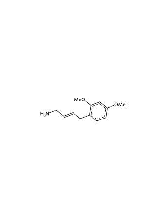 COc1ccc(CC=CCN)c(OC)c1